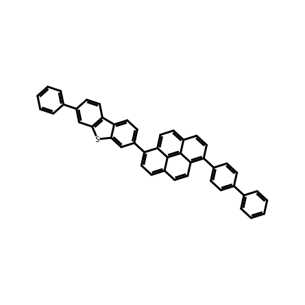 c1ccc(-c2ccc(-c3ccc4ccc5c(-c6ccc7c(c6)sc6cc(-c8ccccc8)ccc67)ccc6ccc3c4c65)cc2)cc1